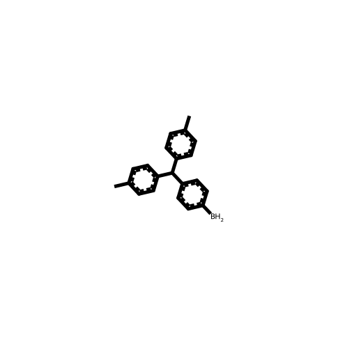 Bc1ccc(C(c2ccc(C)cc2)c2ccc(C)cc2)cc1